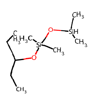 CCC(CC)O[Si](C)(C)O[SiH](C)C